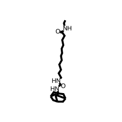 CCNC(=O)CCCCCCCCCCCNC(=O)NC12CC3CC(CC(C3)C1)C2